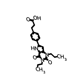 CCCn1c(=O)c2[nH]c(-c3ccc(CCC(=O)O)cc3)cc2n(CCC)c1=O